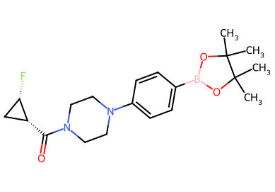 CC1(C)OB(c2ccc(N3CCN(C(=O)[C@@H]4C[C@@H]4F)CC3)cc2)OC1(C)C